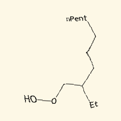 CCCCCCCCC(CC)COO